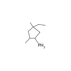 CCC1(C)CC(C)C(P)C1